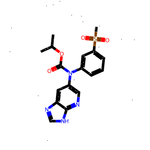 CC(C)OC(=O)N(c1cccc(S(C)(=O)=O)c1)c1cnc2[nH]cnc2c1